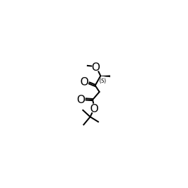 CO[C@@H](C)C(=O)CC(=O)OC(C)(C)C